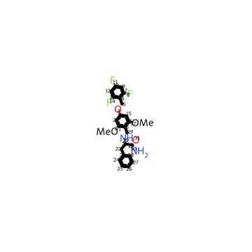 COc1cc(OCc2c(F)cc(F)cc2F)cc(OC)c1CNC(Cc1ccccc1)C(N)=O